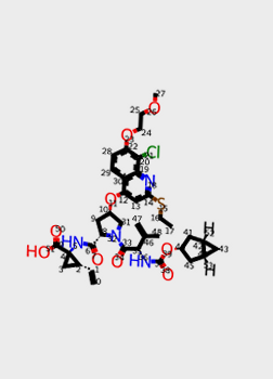 C=C[C@@H]1C[C@]1(NC(=O)[C@@H]1C[C@@H](Oc2cc(SCC)nc3c(Cl)c(OCCOC)ccc23)CN1C(=O)[C@@H](NC(=O)O[C@@H]1C[C@@H]2C[C@@H]2C1)C(=C)C)C(=O)O